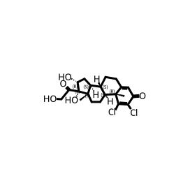 C[C@@]12C(=CC(=O)C(Cl)=C1Cl)CC[C@@H]1[C@@H]2CC[C@@]2(C)[C@H]1C[C@@H](O)[C@]2(O)C(=O)CO